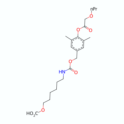 CCCOCC(=O)Oc1c(C)cc(COC(=O)NCCCCCCOC(=O)O)cc1C